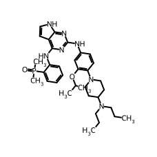 CCCN(CCC)C1CCN(c2ccc(Nc3nc(Nc4ccccc4P(C)(C)=O)c4cc[nH]c4n3)cc2OC(C)C)CC1